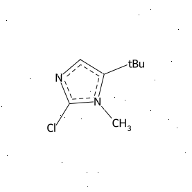 Cn1c(C(C)(C)C)cnc1Cl